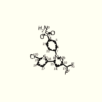 NS(=O)(=O)c1ccc(-n2nc(C(F)F)cc2-c2ccc(Cl)s2)cc1